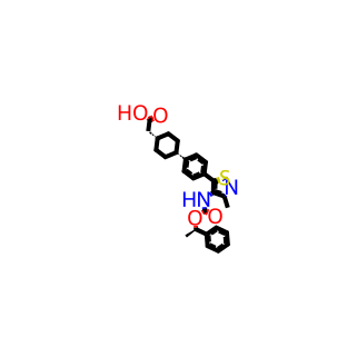 Cc1nsc(-c2ccc([C@H]3CC[C@@H](CC(=O)O)CC3)cc2)c1NC(=O)O[C@H](C)c1ccccc1